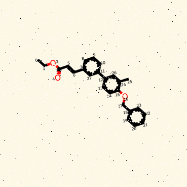 CCOC(=O)C=Cc1cccc(-c2ccc(OCc3ccccc3)c(C)c2)c1